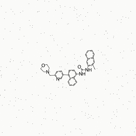 Cc1cc2ccccc2cc1NC(=O)Nc1ccc(-c2ccc(CN3CCOCC3)nc2)c2ccccc12